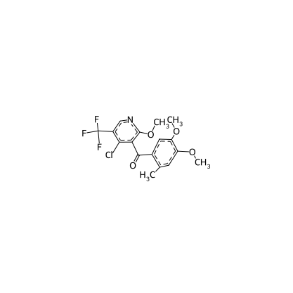 COc1cc(C)c(C(=O)c2c(OC)ncc(C(F)(F)F)c2Cl)cc1OC